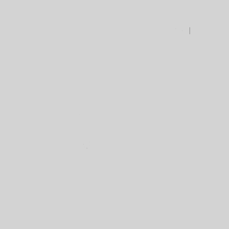 OC1CCC2=C(C1)c1ccccc1Oc1ccccc12